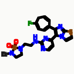 CCN1CCN(CCNc2nccc(-c3c(C4=CC=C(F)CC=C4)nc4sccn34)n2)S1(=O)=O